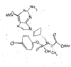 COC(=O)[C@H](C)N(C[C@H]1C[C@@H](n2cnc3c(OC)nc(N)nc32)C1)P(=O)(O)Oc1ccc(Cl)cc1